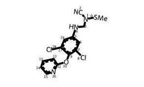 CSN(C#N)CNc1cc(Cl)c(Oc2ccccn2)c(Cl)c1